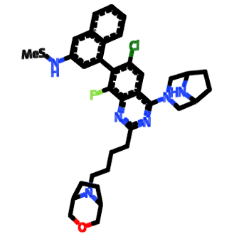 CSNc1cc(-c2c(Cl)cc3c(N4CC5CCC(C4)N5)nc(CCCCN4C5CCC4COC5)nc3c2F)c2ccccc2c1